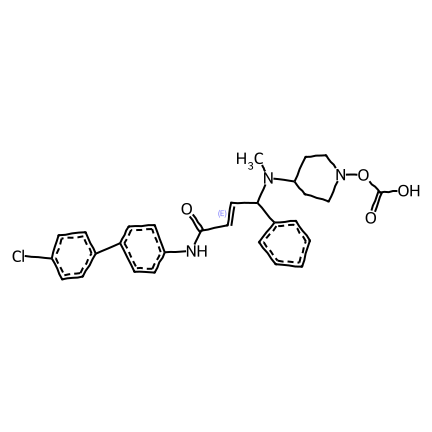 CN(C1CCN(OC(=O)O)CC1)C(/C=C/C(=O)Nc1ccc(-c2ccc(Cl)cc2)cc1)c1ccccc1